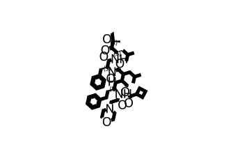 CC(C)CC(C(=O)N[C@@H](Cc1ccccc1)C(=O)N[C@@H](CC(C)C)C(=O)[C@@]1(C)CO1)C(COC(=O)C1CCC1)C(=O)[C@H](CCc1ccccc1)NC(=O)CN1CCOCC1